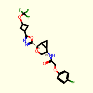 O=C(COc1ccc(F)cc1)N[C@H]1CO[C@H](c2nnc(C3CC(OC(F)(F)F)C3)o2)C2CC21